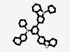 c1ccc(N(c2cc(-c3ccc4oc5ccccc5c4c3)cc(-c3ccc4c(c3)c3ccccc3n4-c3ccccc3)c2)c2ccc3ccccc3c2)cc1